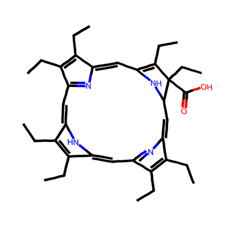 CCC1=C(CC)C2=NC1=CC1=C(CC)C(CC)(C(=O)O)C(C=C3N=C(C=c4[nH]c(c(CC)c4CC)=C2)C(CC)=C3CC)N1